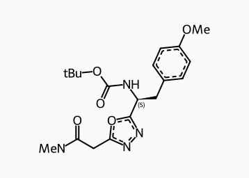 CNC(=O)Cc1nnc([C@H](Cc2ccc(OC)cc2)NC(=O)OC(C)(C)C)o1